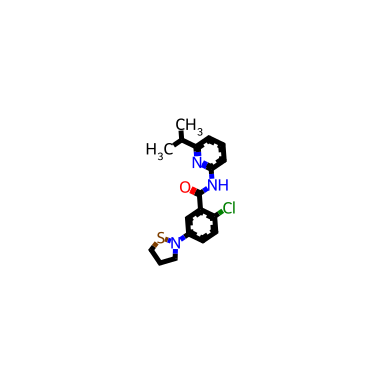 CC(C)c1cccc(NC(=O)c2cc(N3CCCS3)ccc2Cl)n1